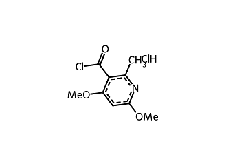 COc1cc(OC)c(C(=O)Cl)c(C)n1.Cl